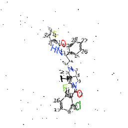 O=C(NC(CCN1CC2CN(C(=O)c3c(F)cccc3Cl)C[C@@H]2C1)c1ccccc1)c1cccs1